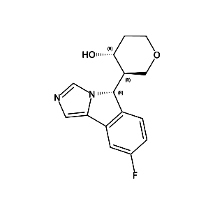 O[C@@H]1CCOC[C@H]1[C@@H]1c2ccc(F)cc2-c2cncn21